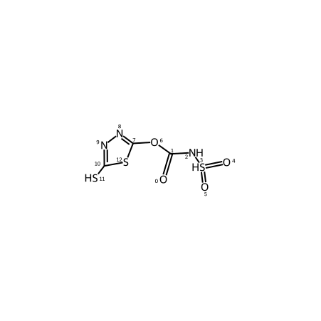 O=C(N[SH](=O)=O)Oc1nnc(S)s1